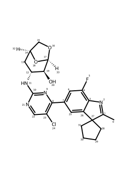 CC1=Nc2c(F)cc(-c3nc(N[C@@H]4C[C@H]5CO[C@H](O5)[C@H]4O)ncc3Cl)cc2C12CCCC2